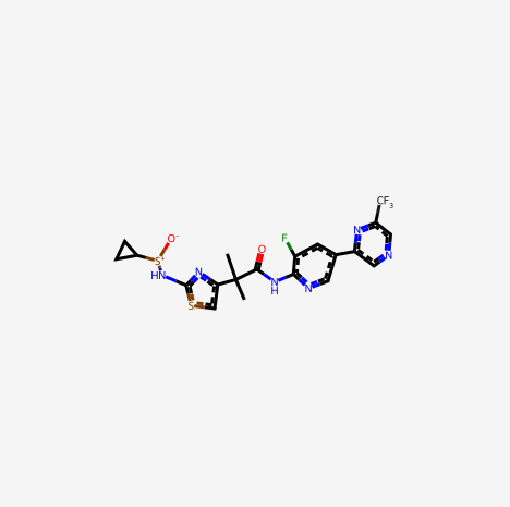 CC(C)(C(=O)Nc1ncc(-c2cncc(C(F)(F)F)n2)cc1F)c1csc(N[S+]([O-])C2CC2)n1